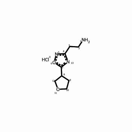 Cl.NCCc1noc(C2CCOC2)n1